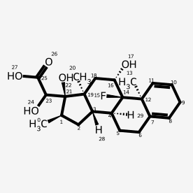 C[C@@H]1C[C@H]2[C@@H]3CCC4=CCC=C[C@]4(C)[C@@]3(F)[C@@H](O)C[C@]2(C)[C@@]1(O)C(O)C(=O)O